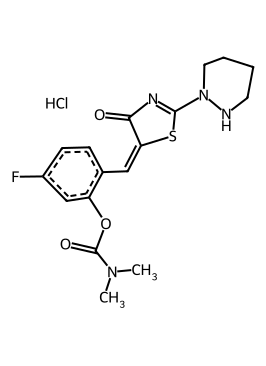 CN(C)C(=O)Oc1cc(F)ccc1/C=C1/SC(N2CCCCN2)=NC1=O.Cl